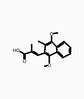 COc1c(C)c(C=C(C)C(=O)O)c(OC)c2ccccc12